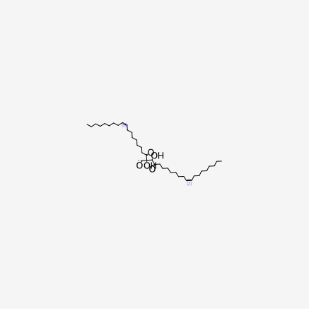 CCCCCCCC/C=C\CCCCCCCC(=O)C(O)C(O)([C]=O)C(=O)CCCCCCC/C=C\CCCCCCCC